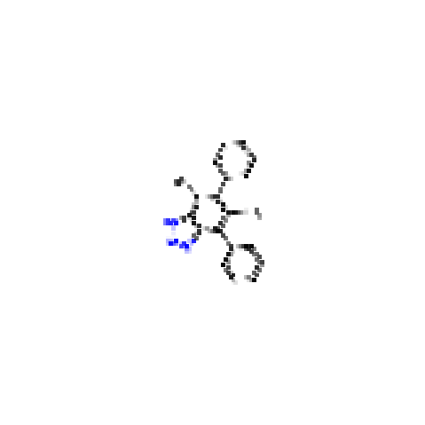 CCCc1c(-c2ccccc2)c(C)c(-c2ccccc2)c2nn[nH]c12